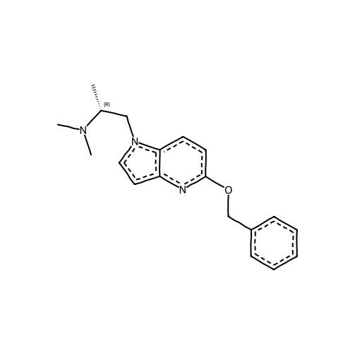 C[C@H](Cn1ccc2nc(OCc3ccccc3)ccc21)N(C)C